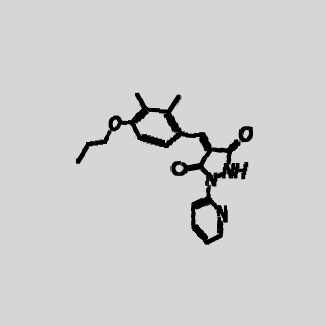 CCCOc1ccc(/C=C2/C(=O)NN(c3ccccn3)C2=O)c(C)c1C